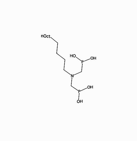 CCCCCCCCCCCCN(CP(O)O)CP(O)O